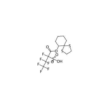 O=C(OC1CCCCC12SCCS2)C(F)(C(F)(F)C(F)(F)F)S(=O)(=O)O